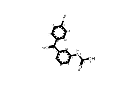 O=C(O)Nc1cccc(C(=O)c2ccc(F)cc2)c1